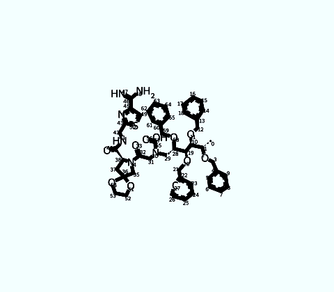 C[C@H](OCc1ccccc1)[C@H](OCc1ccccc1)[C@@H](OCc1ccccc1)[C@H](CN(CC(=O)N1CC2(C[C@H]1C(=O)NCc1nc(C(=N)N)cs1)OCCO2)C(=O)O)OCc1ccccc1